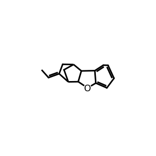 CC=C1CC2CC1C1Oc3ccccc3C21